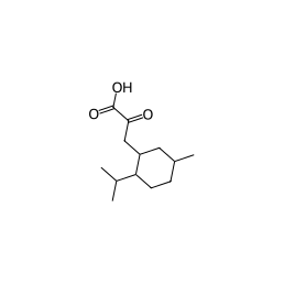 CC1CCC(C(C)C)C(CC(=O)C(=O)O)C1